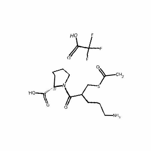 CC(=O)SCC(CCCN)C(=O)N1CCC[C@H]1C(=O)O.O=C(O)C(F)(F)F